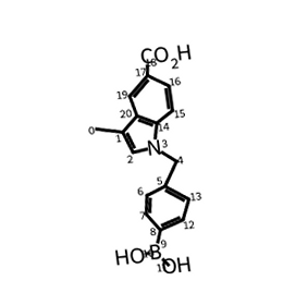 Cc1cn(Cc2ccc(B(O)O)cc2)c2ccc(C(=O)O)cc12